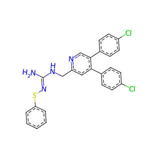 N/C(=N\Sc1ccccc1)NCc1cc(-c2ccc(Cl)cc2)c(-c2ccc(Cl)cc2)cn1